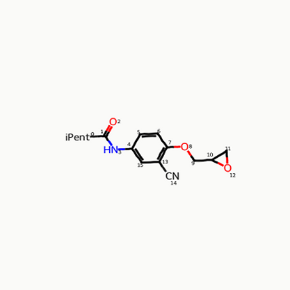 CCCC(C)C(=O)Nc1ccc(OCC2CO2)c(C#N)c1